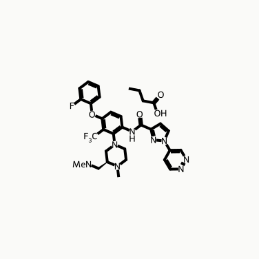 CCCC(=O)O.CNC[C@H]1CN(c2c(NC(=O)c3ccn(-c4ccnnc4)n3)ccc(Oc3ccccc3F)c2C(F)(F)F)CCN1C